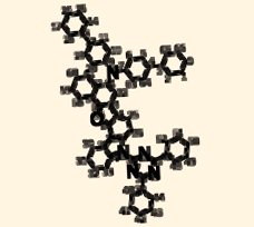 c1ccc(-c2ccc(N(c3ccc(-c4ccccc4)cc3)c3cc4c5ccc6c(c7ccccc7n6-c6nc(-c7ccccc7)nc(-c7ccccc7)n6)c5oc4c4ccccc34)cc2)cc1